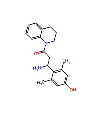 Cc1cc(O)cc(C)c1C(N)CC(=O)N1CCCc2ccccc21